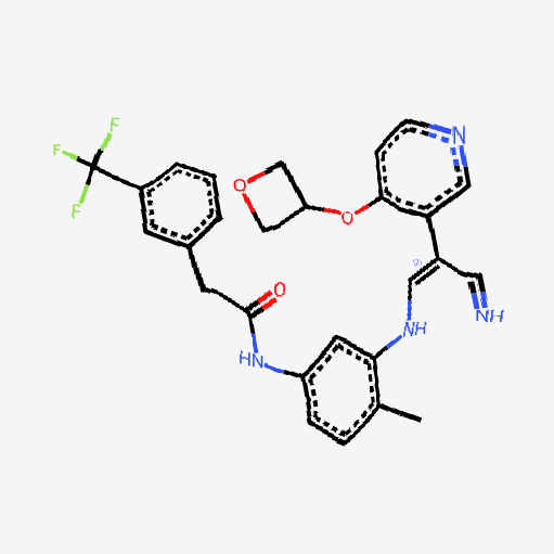 Cc1ccc(NC(=O)Cc2cccc(C(F)(F)F)c2)cc1N/C=C(\C=N)c1cnccc1OC1COC1